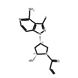 C=CC(=O)N1C[C@@H](n2nc(I)c3c(N)nccc32)C[C@H]1CCC